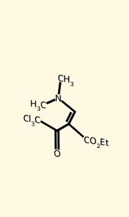 CCOC(=O)C(=CN(C)C)C(=O)C(Cl)(Cl)Cl